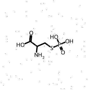 NC(CSP(=O)(O)O)C(=O)O